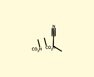 CC(=O)O.CC(=O)O.CCC#N